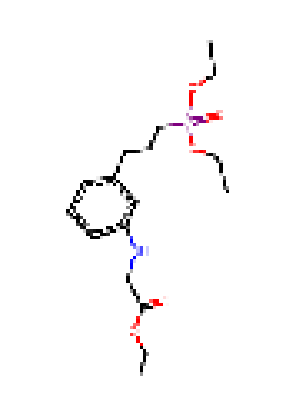 CCOC(=O)CNc1cccc(CCCP(=O)(OCC)OCC)c1